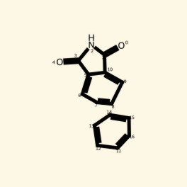 O=C1NC(=O)c2ccccc21.c1ccccc1